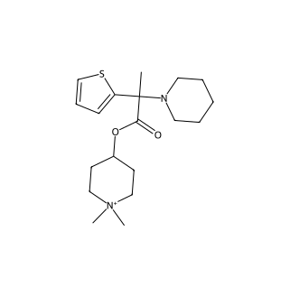 CC(C(=O)OC1CC[N+](C)(C)CC1)(c1cccs1)N1CCCCC1